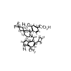 Cc1cc(C(=O)O)ccc1[C@@H]1CC2(CCN1Cc1c(C3CCC3)cc(C)c3[nH]ccc13)CC(F)(F)C2